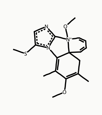 COC1=C(C)CC23C=CC=C[N+]2(OC)c2ncc(SC)n2C3=C1C